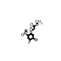 COC(=O)CNc1cc(Br)c(F)cc1[N+](=O)[O-]